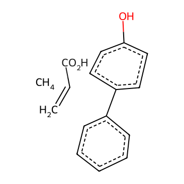 C.C=CC(=O)O.Oc1ccc(-c2ccccc2)cc1